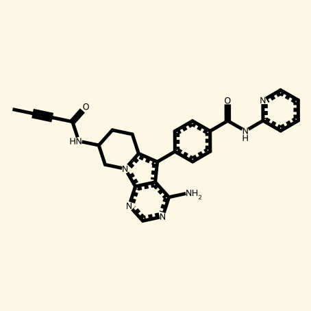 CC#CC(=O)NC1CCc2c(-c3ccc(C(=O)Nc4ccccn4)cc3)c3c(N)ncnc3n2C1